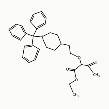 CCOC(=O)C(OCCN1CCN(C(c2ccccc2)(c2ccccc2)c2ccccc2)CC1)C(C)=O